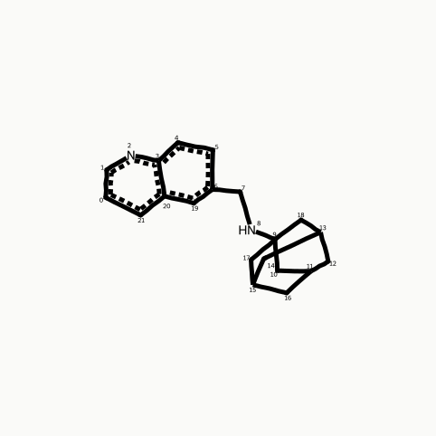 c1cnc2ccc(CNC34CC5CC(CC(C5)C3)C4)cc2c1